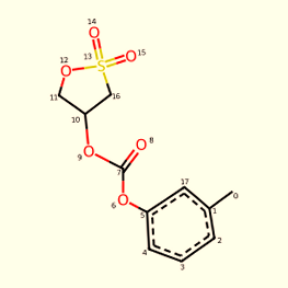 Cc1cccc(OC(=O)OC2COS(=O)(=O)C2)c1